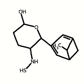 CC1C2=CC(C3OC(O)CCC3NS)=CC1C2